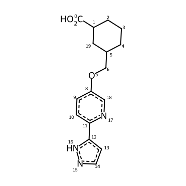 O=C(O)C1CCCC(COc2ccc(-c3ccn[nH]3)nc2)C1